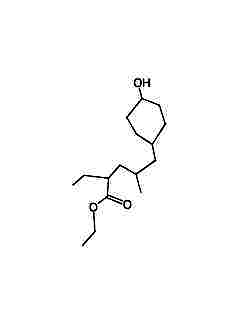 CCOC(=O)C(CC)CC(C)CC1CCC(O)CC1